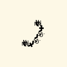 CC(C)(CC[S+]([O-])CCC[S+]([O-])CCC(C)(C)Cn1cnnn1)Cn1cnnn1